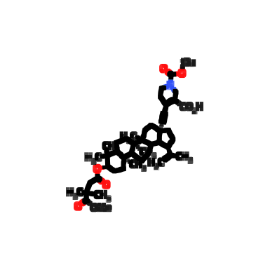 C=C(C)[C@@H]1CC[C@]2(C#CC3=C(C(=O)O)CN(C(=O)OC(C)(C)C)CC3)CC[C@]3(C)C(CCC4[C@@]5(C)CC[C@H](OC(=O)CC(C)(C)C(=O)OC)C(C)(C)C5CC[C@]43C)C12